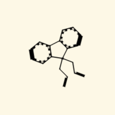 C=CCC1(CC=C)c2c#cccc2-c2cc#ccc21